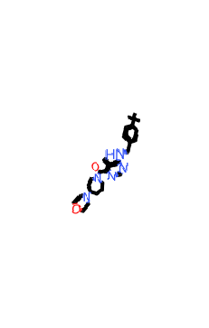 Cc1c(NCc2ccc(C(C)(C)C)cc2)ncnc1C(=O)N1CCCC(N2CCOCC2)CC1